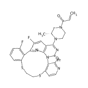 C=CC(=O)N1CCN(c2nc(=O)n3c4nc(c(F)cc24)-c2c(F)cccc2SCCSc2ccnc(C(C)C)c2-3)[C@H](C)C1